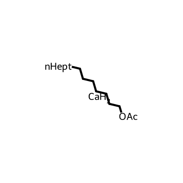 CCCCCCCCCCCCCCOC(C)=O.[CaH2]